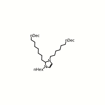 CCCCCCCCCCCCCCCCCC1N(CCCCCC)C=CN1CCCCCCCCCCCCCCCC